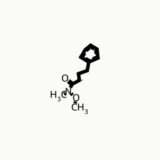 CON(C)C(=O)[CH]CCc1ccccc1